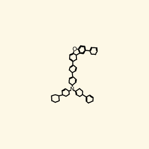 C1=CCCC(c2ccc3c(c2)C2CC(C4=CCC(C5=CCC(N(C6=CCC(C7=CCCC=C7)CC6)C6C=CC(C7CCCCC7)CC6)C=C5)C=C4)=CC=C2O3)=C1